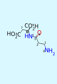 NCCC(=O)N[C@@H](CC(=O)O)C(=O)O